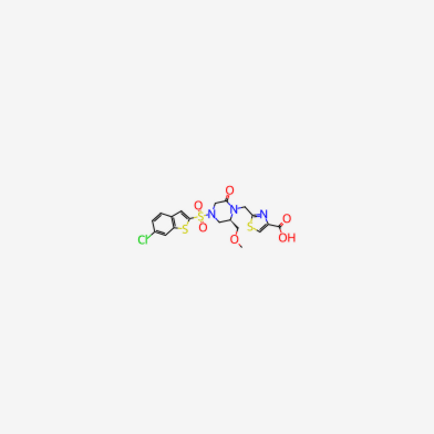 COC[C@H]1CN(S(=O)(=O)c2cc3ccc(Cl)cc3s2)CC(=O)N1Cc1nc(C(=O)O)cs1